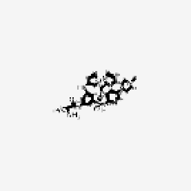 CC(C)CC(N)C(=O)Nc1cc(Nc2ccoc2)cc(S(=O)(=O)Nc2ncc(N3CCN(C)CC3)cc2OCc2ncccn2)c1